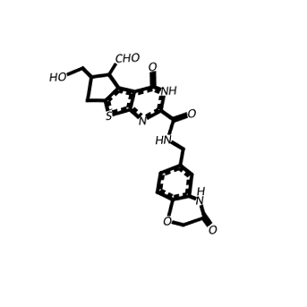 O=CC1c2c(sc3nc(C(=O)NCc4ccc5c(c4)NC(=O)CO5)[nH]c(=O)c23)CC1CO